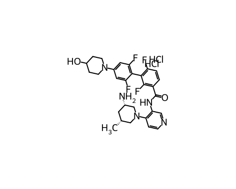 C[C@@H]1C[C@H](N)CN(c2ccncc2NC(=O)c2ccc(F)c(-c3c(F)cc(N4CCC(O)CC4)cc3F)c2F)C1.Cl.Cl